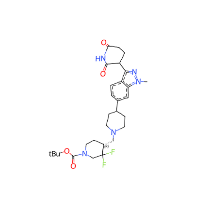 Cn1nc(C2CCC(=O)NC2=O)c2ccc(C3CCN(C[C@H]4CCN(C(=O)OC(C)(C)C)CC4(F)F)CC3)cc21